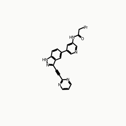 CC(C)CC(=O)Nc1cncc(-c2ccc3[nH]nc(C#Cc4ncccn4)c3c2)c1